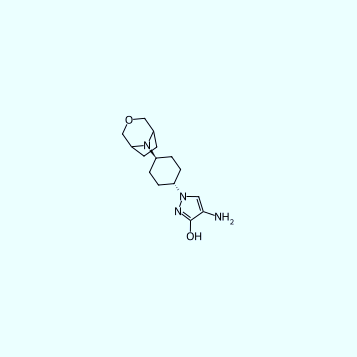 Nc1cn([C@H]2CC[C@H](N3C4CCC3COC4)CC2)nc1O